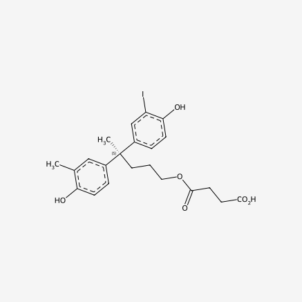 Cc1cc([C@](C)(CCCOC(=O)CCC(=O)O)c2ccc(O)c(I)c2)ccc1O